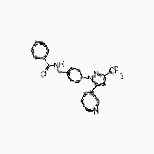 O=C(NCc1ccc(-n2nc(C(F)(F)F)cc2-c2cccnc2)cc1)c1ccccc1